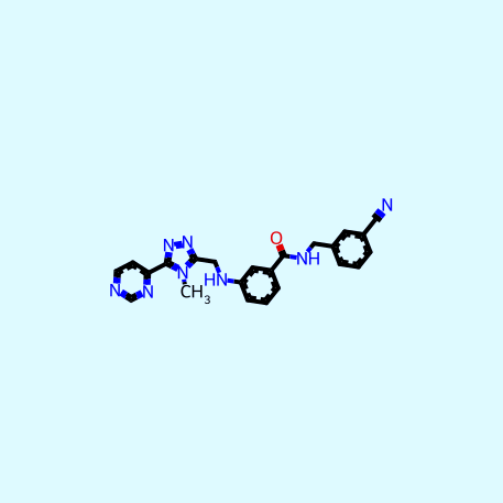 Cn1c(CNc2cccc(C(=O)NCc3cccc(C#N)c3)c2)nnc1-c1ccncn1